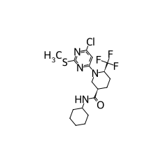 CSc1nc(Cl)cc(N2C[C@H](C(=O)NC3CCCCC3)CC[C@@H]2C(F)(F)F)n1